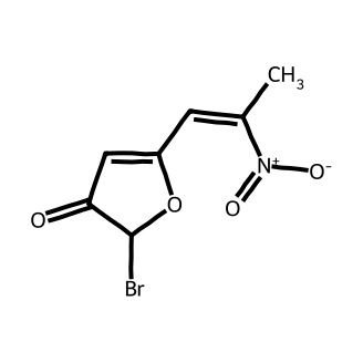 CC(=CC1=CC(=O)C(Br)O1)[N+](=O)[O-]